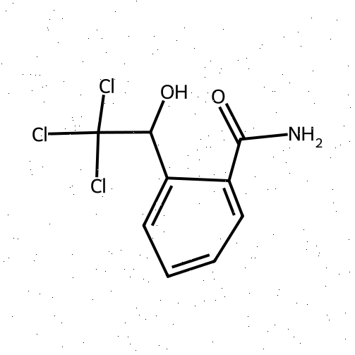 NC(=O)c1ccccc1C(O)C(Cl)(Cl)Cl